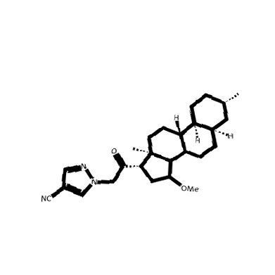 COC1C[C@H](C(=O)Cn2cc(C#N)cn2)[C@@]2(C)CC[C@H]3C(CC[C@@H]4C[C@@H](C)CC[C@@H]43)C12